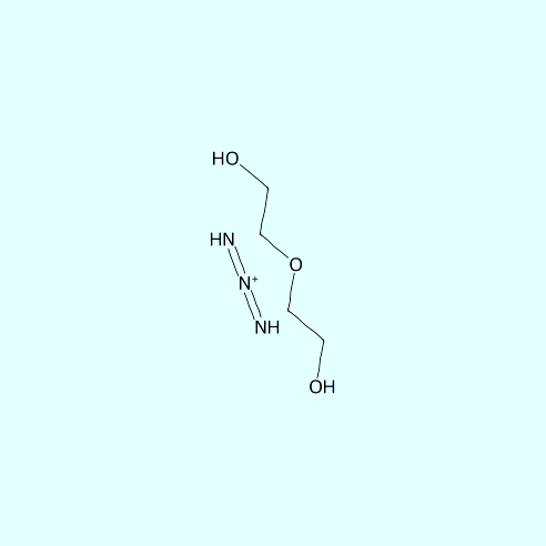 N=[N+]=N.OCCOCCO